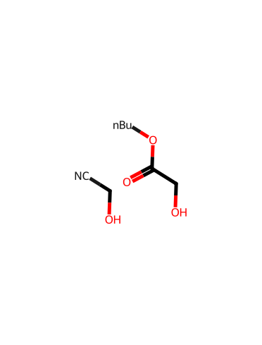 CCCCOC(=O)CO.N#CCO